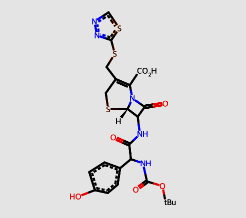 CC(C)(C)OC(=O)NC(C(=O)NC1C(=O)N2C(C(=O)O)=C(CSc3nncs3)CS[C@@H]12)c1ccc(O)cc1